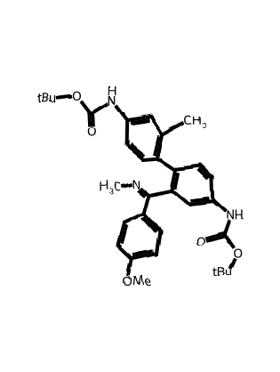 C/N=C(\c1ccc(OC)cc1)c1cc(NC(=O)OC(C)(C)C)ccc1-c1ccc(NC(=O)OC(C)(C)C)cc1C